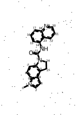 Cn1ccc2c3c(ccc21)N(C(=O)Nc1cccc2ncccc12)CC3